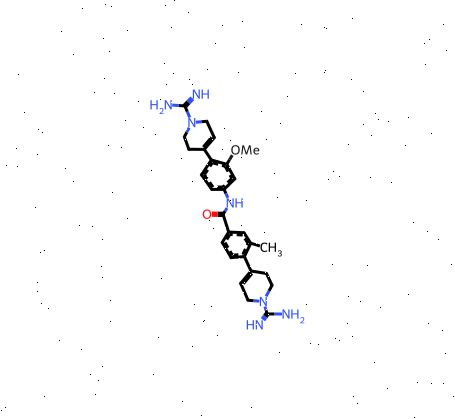 COc1cc(NC(=O)c2ccc(C3=CCN(C(=N)N)CC3)c(C)c2)ccc1C1=CCN(C(=N)N)CC1